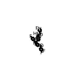 O=C(Nc1cn2nc(-c3c(-c4ccc(F)cc4)nn4c3CN(C(=O)c3ccc(F)c(F)c3)CC4)ccc2n1)c1ccnc(F)c1